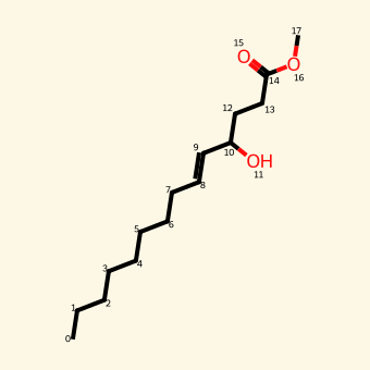 CCCCCCCCC=CC(O)CCC(=O)OC